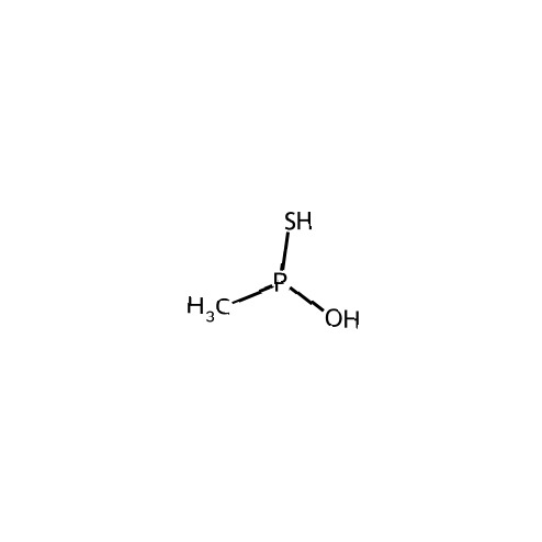 CP(O)S